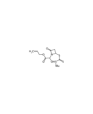 C=CCOC(=O)C(O)N1C(=O)CC1SC(=S)SC(C)(C)C